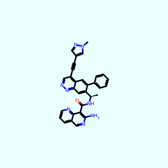 C[C@@H](NC(=O)c1c(N)ncc2cccnc12)c1cc2nncc(C#Cc3cnn(C)c3)c2cc1-c1ccccc1